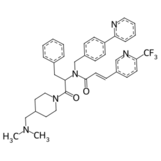 CN(C)CC1CCN(C(=O)C(Cc2ccccc2)N(Cc2ccc(-c3ccccn3)cc2)C(=O)C=Cc2ccc(C(F)(F)F)nc2)CC1